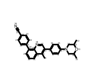 Cc1c(-c2ccc(N3CC(C)OC(C)C3)cc2)cnc2c(-c3ccc(C#N)cc3)cccc12